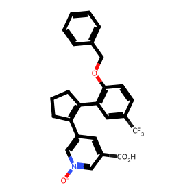 O=C(O)c1cc(C2=C(c3cc(C(F)(F)F)ccc3OCc3ccccc3)CCC2)c[n+]([O-])c1